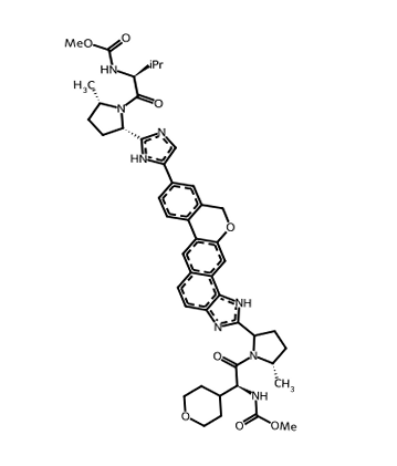 COC(=O)N[C@H](C(=O)N1[C@@H](C)CC[C@H]1c1ncc(-c2ccc3c(c2)COc2cc4c(ccc5nc(C6CC[C@H](C)N6C(=O)[C@@H](NC(=O)OC)C6CCOCC6)[nH]c54)cc2-3)[nH]1)C(C)C